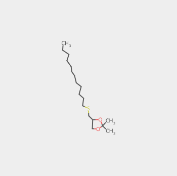 CCCCCCCCCCCCSCC1COC(C)(C)O1